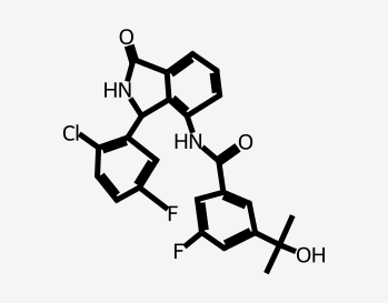 CC(C)(O)c1cc(F)cc(C(=O)Nc2cccc3c2C(c2cc(F)ccc2Cl)NC3=O)c1